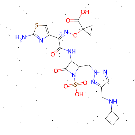 Nc1nc(/C(=N/OC2(C(=O)O)CC2)C(=O)NC2C(=O)N(S(=O)(=O)O)C2Cn2ncc(CNC3CCC3)n2)cs1